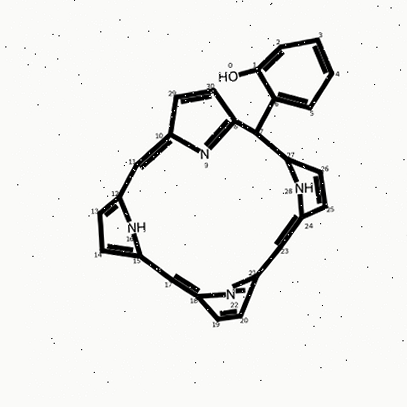 Oc1ccccc1C1C2=NC(=Cc3ccc([nH]3)C=C3C=CC(=N3)C=C3C=CC1N3)C=C2